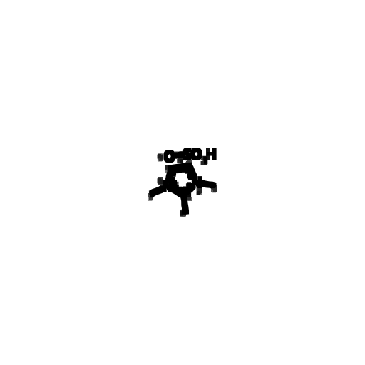 Cc1n(C)cc[n+]1C.O=S(=O)([O-])O